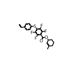 C=Cc1ccc(Sc2c(F)c(F)c(C(=O)OC3C=C(C)CCC3)c(F)c2F)cc1